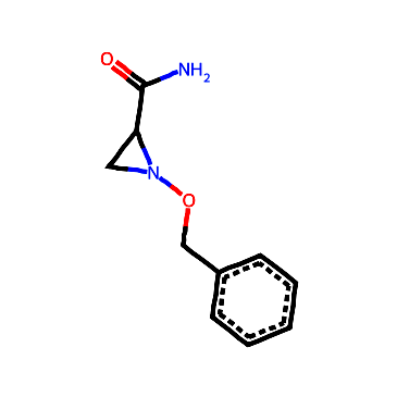 NC(=O)C1CN1OCc1ccccc1